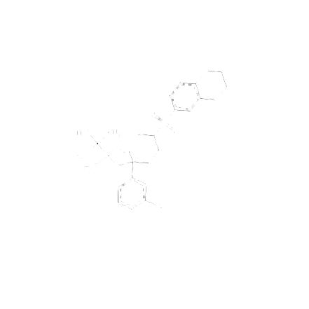 CC(C)(C)[Si](C)(C)OC1(c2cccc(Br)c2)CCC(S(=O)(=O)c2ccc3c(c2)OCCO3)CO1